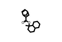 CC1(OC(=O)C2CC3C=CC2C3)CCCC2CCCCC21